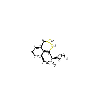 C=CC1=C2C(=CCC/C2=C/C)CSS1